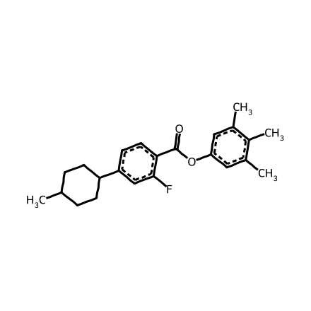 Cc1cc(OC(=O)c2ccc(C3CCC(C)CC3)cc2F)cc(C)c1C